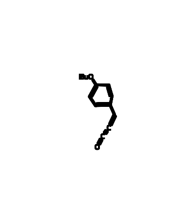 CC(C)COc1ccc(C=C=C=O)cc1